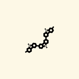 Cc1ccc2c3cc(-c4ccc5c(c4)c4cc(-c6ccc7c(c6)c6ccc(C)cc6n7C)ccc4n5C)ccc3n(C)c2c1